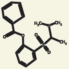 CC(N(C)C)S(=O)(=O)c1ccccc1OC(=O)c1ccccc1